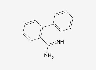 N=C(N)c1[c]cccc1-c1ccccc1